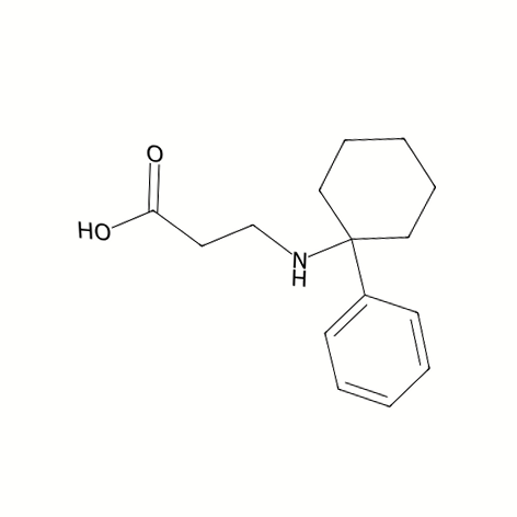 O=C(O)CCNC1(c2ccccc2)CCCCC1